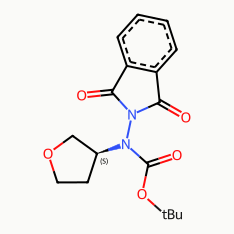 CC(C)(C)OC(=O)N([C@H]1CCOC1)N1C(=O)c2ccccc2C1=O